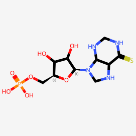 O=P(O)(O)OC[C@@H]1O[C@H](N2CNC3C(=S)NCNC32)C(O)C1O